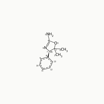 CC1(C)OC(N)=N[C@@H]1c1ccccc1